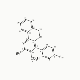 CC(C)c1cc2c(c(-c3ccc(F)cc3)c1C(=O)O)CCc1ccccc1-2